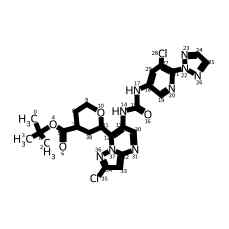 CC(C)(C)OC(=O)C1CCOC(c2c(NC(=O)Nc3cnc(-n4nccn4)c(Cl)c3)cnc3cc(Cl)nn23)C1